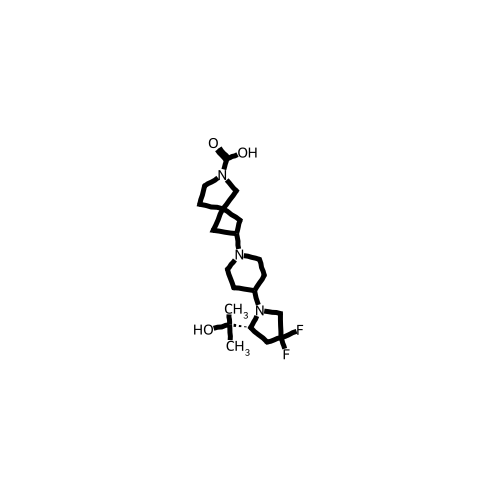 CC(C)(O)[C@H]1CC(F)(F)CN1C1CCN(C2CC3(CCN(C(=O)O)C3)C2)CC1